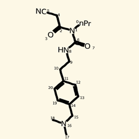 CCCN(C(=O)CC#N)C(=O)NCCc1ccc(CN(C)C)cc1